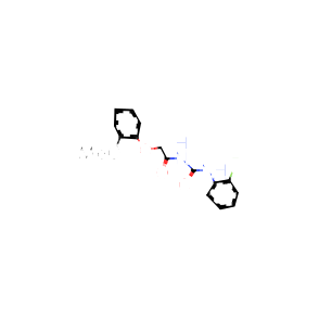 COc1ccccc1OCC(=O)NC(=O)Nc1ccccc1F